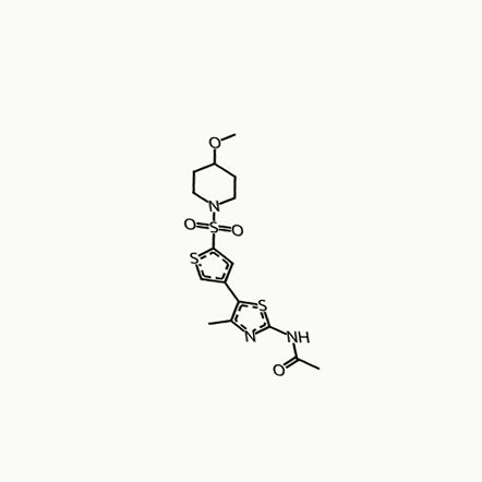 COC1CCN(S(=O)(=O)c2cc(-c3sc(NC(C)=O)nc3C)cs2)CC1